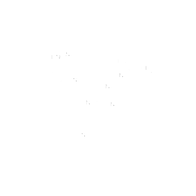 C=CC(=O)N1CCN(c2c(C#N)c(OC[C@@H]3CCCN3C)nc3c2CCN(c2c(Cl)c(F)cc4[nH]ncc24)C3)C[C@@H]1C